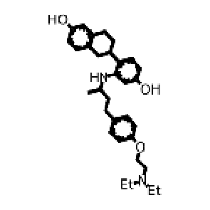 CCN(CC)CCOc1ccc(CCC(C)Nc2cc(O)ccc2C2CCc3cc(O)ccc3C2)cc1